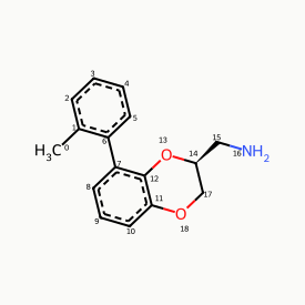 Cc1ccccc1-c1cccc2c1O[C@@H](CN)CO2